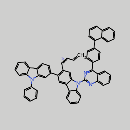 C=C/C=C\c1cc2c(cc1-c1ccc3c4ccccc4n(-c4ccccc4)c3c1)c1ccccc1n2-c1nc(-c2ccc(-c3cccc4ccccc34)cc2)c2ccccc2n1